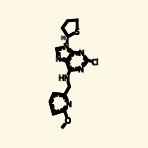 COc1cccc(CNc2nc(Cl)nc3c2ncn3[C@H]2CCCS2)n1